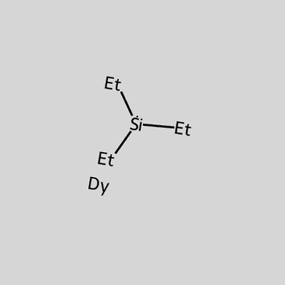 CC[Si](CC)CC.[Dy]